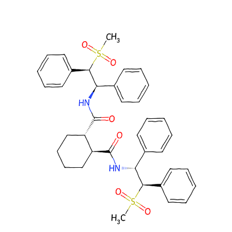 CS(=O)(=O)[C@H](c1ccccc1)[C@H](NC(=O)[C@H]1CCCC[C@@H]1C(=O)N[C@H](c1ccccc1)[C@@H](c1ccccc1)S(C)(=O)=O)c1ccccc1